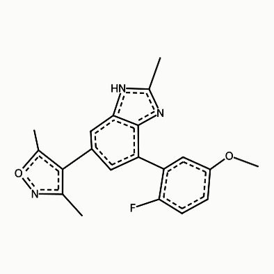 COc1ccc(F)c(-c2cc(-c3c(C)noc3C)cc3[nH]c(C)nc23)c1